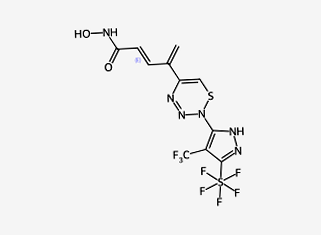 C=C(/C=C/C(=O)NO)C1=CSN(c2[nH]nc(S(F)(F)(F)(F)F)c2C(F)(F)F)N=N1